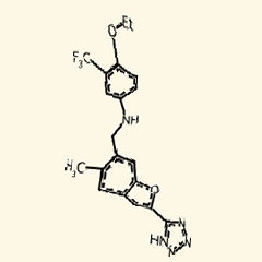 CCOc1ccc(NCc2cc3oc(-c4nnn[nH]4)cc3cc2C)cc1C(F)(F)F